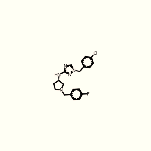 Fc1ccc(CN2CC[C@@H](Nc3ncn(Cc4ccc(Cl)cc4)n3)C2)cc1